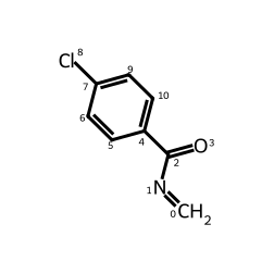 C=NC(=O)c1ccc(Cl)cc1